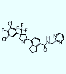 O=C(NCc1ncccn1)c1ccc(C2=NCC(c3cc(Cl)c(F)c(Cl)c3)(C(F)(F)F)C2)c2c1CCC2